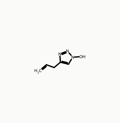 C=CCc1[c]n(O)nn1